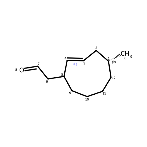 C[C@H]1C/C=C/C(CC=O)CCCC1